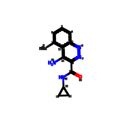 CCCCc1cccc2nnc(C(=O)NC3CC3)c(N)c12